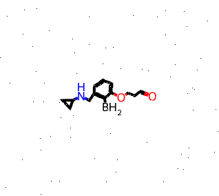 Bc1c(CNC2CC2)cccc1OCCC=O